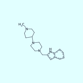 CN1CCC(N2CCN(Cc3cc4ccccc4[nH]3)CC2)CC1